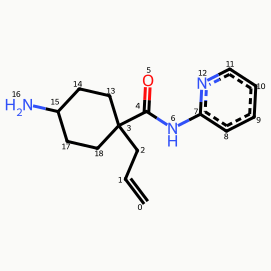 C=CCC1(C(=O)Nc2ccccn2)CCC(N)CC1